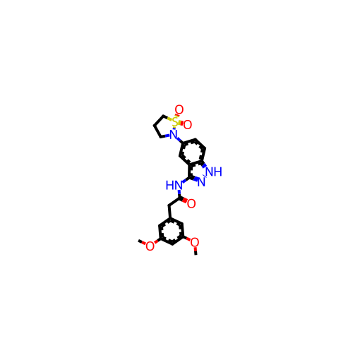 COc1cc(CC(=O)Nc2n[nH]c3ccc(N4CCCS4(=O)=O)cc23)cc(OC)c1